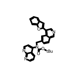 CC(C)(C)OC(=O)N(Cc1ccc2cncc(-c3cc4ccccc4o3)c2c1)c1ccnc2ncccc12